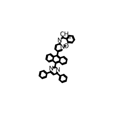 C=C1N=C2C=CC(c3c4ccccc4c(-c4nc(-c5ccccc5)cc(-c5ccccc5)n4)c4ccccc34)=CN2Oc2ccccc21